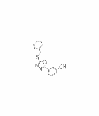 N#Cc1cccc(-c2nnc(SCc3ccccc3)o2)c1